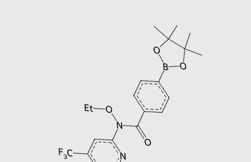 CCON(C(=O)c1ccc(B2OC(C)(C)C(C)(C)O2)cc1)c1cc(C(F)(F)F)ccn1